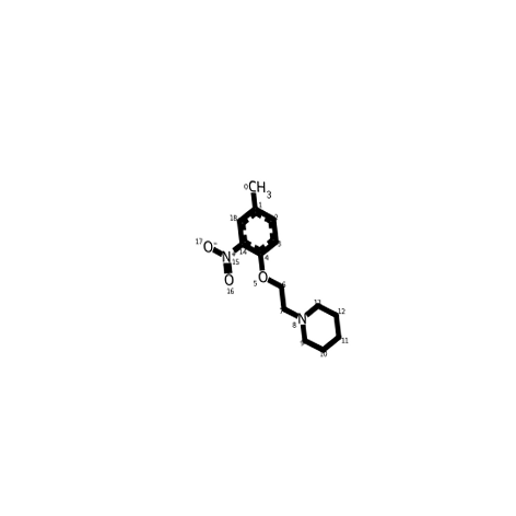 Cc1ccc(OCCN2CCCCC2)c([N+](=O)[O-])c1